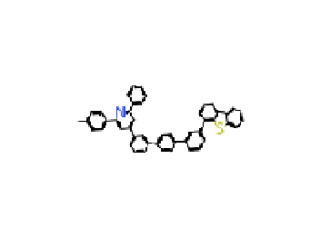 Cc1ccc(-c2cc(-c3cccc(-c4ccc(-c5cccc(-c6cccc7c6sc6ccccc67)c5)cc4)c3)cc(-c3ccccc3)n2)cc1